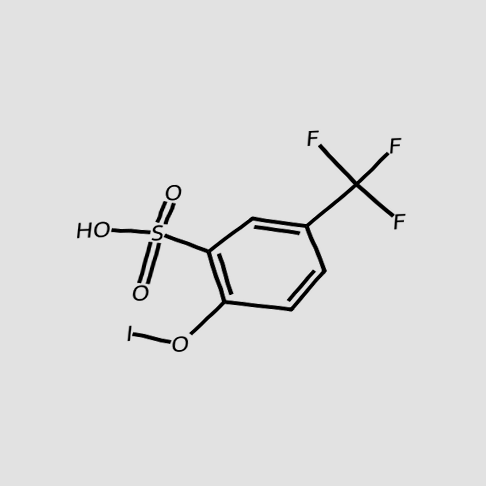 O=S(=O)(O)c1cc(C(F)(F)F)ccc1OI